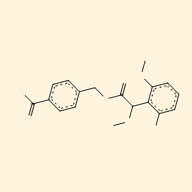 COc1cccc(F)c1C(OC)C(=O)NCc1ccc(C(=N)N)cc1